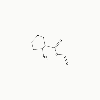 NC1CCCCC1C(=O)OC=O